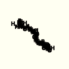 CC(C)(c1n[nH]c(CCC(=O)[C@H]2C[C@@H]2c2ccc(-c3ccc(-c4cnn(CC(=O)N5CCC(CN6CCN(c7cc8c(cc7F)C(=O)N(C7CCC(=O)NC7=O)C8=O)CC6)CC5)c4)c(Cl)c3)cc2)n1)C(F)(F)F